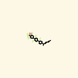 CC#CC#CC(C)c1ccc(-c2cc(F)c(-c3cc(F)c(C(F)(F)Br)c(F)c3)c(F)c2)c(F)c1